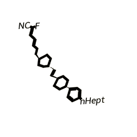 CCCCCCCc1ccc([C@H]2CC[C@H](C=C[C@H]3CC[C@H](CCC=CC=C(F)C#N)CC3)CC2)cc1